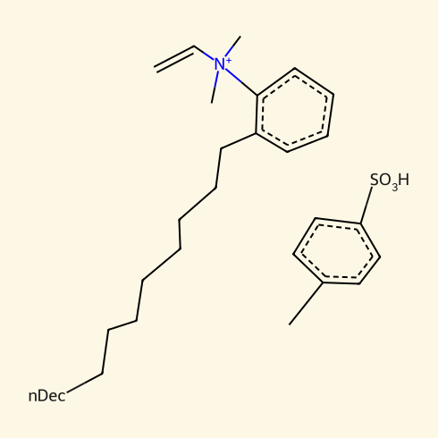 C=C[N+](C)(C)c1ccccc1CCCCCCCCCCCCCCCCCC.Cc1ccc(S(=O)(=O)O)cc1